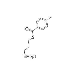 CCCCCCCCCCSC(=O)c1ccc(C)cc1